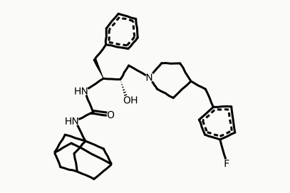 O=C(N[C@@H](Cc1ccccc1)[C@@H](O)CN1CCC(Cc2ccc(F)cc2)CC1)NC12CC3CC(CC(C3)C1)C2